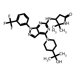 CC(C)(O)C1CCN(c2nc(NC3CC(=O)NC3(C)C)nc3c2cnn3-c2cccc(C(F)(F)F)c2)CC1